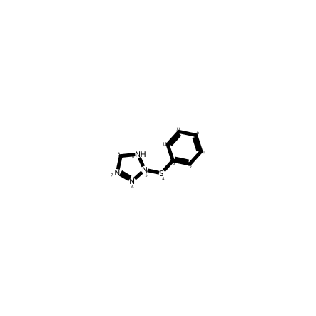 c1ccc(SN2N=NCN2)cc1